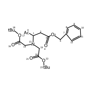 CC(=O)C(CC(=O)OCc1ccccc1)N(CC(=O)OC(C)(C)C)CC(=O)OC(C)(C)C